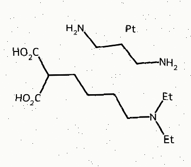 CCN(CC)CCCCC(C(=O)O)C(=O)O.NCCCN.[Pt]